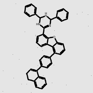 C1=C(c2ccc(-c3cccc4oc5c(C6=NC(c7ccccc7)NC(c7ccccc7)N6)cccc5c34)cc2)c2ccccc2CC1